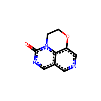 O=c1ncc2cncc3c2n1CCO3